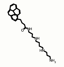 NCCCNCCCCNCCCNC(=O)CCCc1ccc2c3c1C=CC1=CC=CC(=CC2)C13